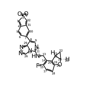 O=S1(=O)C=c2ccc(-c3cnc(NCc4c(F)ccc5c4[C@H]4C[C@H]4O5)n4cnnc34)cc2=C1